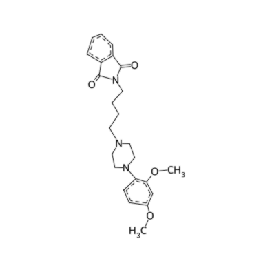 COc1ccc(N2CCN(CCCCN3C(=O)c4ccccc4C3=O)CC2)c(OC)c1